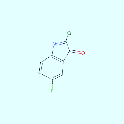 O=C1C(Cl)=Nc2ccc(F)cc21